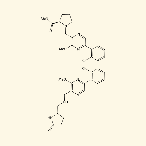 C=C1CC[C@@H](CNCc2ncc(-c3cccc(-c4cccc(-c5cnc(CN6CCC[C@@H]6C(=O)NC)c(OC)n5)c4Cl)c3Cl)nc2OC)N1